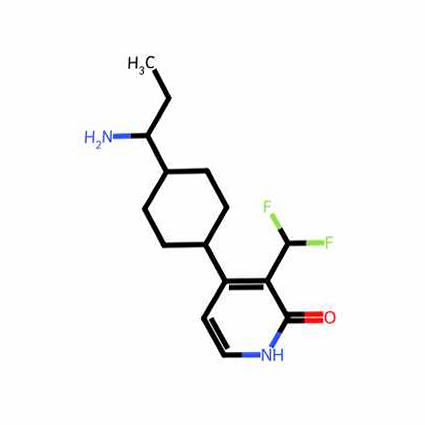 CCC(N)C1CCC(c2cc[nH]c(=O)c2C(F)F)CC1